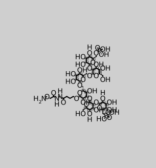 NOCC(=O)NNC(=O)CCCO[C@@H]1O[C@H](CO[C@H]2O[C@H](CO[C@H]3O[C@H](CO)[C@@H](O)[C@H](O)[C@@H]3O[C@H]3O[C@H](COP(=O)(O)O)[C@@H](O)[C@H](O)[C@@H]3O)[C@@H](O)[C@H](O)[C@@H]2O)[C@@H](O)[C@H](O[C@H]2O[C@H](CO)[C@@H](O)[C@H](O)[C@@H]2O[C@H]2O[C@H](CP(=O)(O)OO)[C@@H](O)[C@H](O)[C@@H]2O)[C@@H]1O